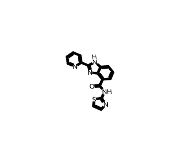 O=C(Nc1nccs1)c1cccc2[nH]c(-c3ccccn3)nc12